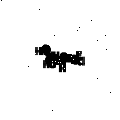 O=C(COc1ccc(Cl)c(F)c1)NC12CCC(C(=O)NCC3CCCCN3)(CC1)C(O)C2